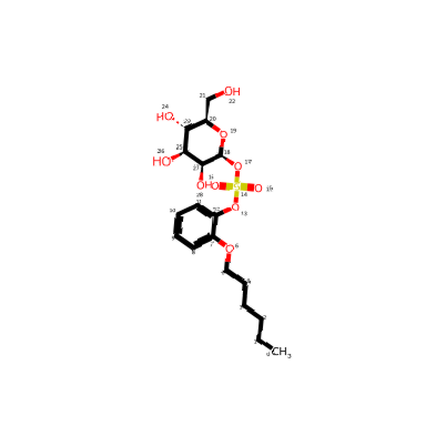 CCCCCCOc1ccccc1OS(=O)(=O)O[C@@H]1O[C@H](CO)[C@@H](O)[C@H](O)[C@@H]1O